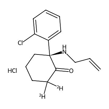 Cl.[2H]C1([2H])CCC[C@](NCC=C)(c2ccccc2Cl)C1=O